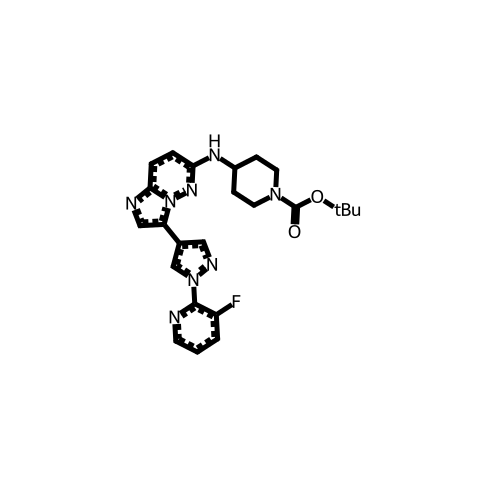 CC(C)(C)OC(=O)N1CCC(Nc2ccc3ncc(-c4cnn(-c5ncccc5F)c4)n3n2)CC1